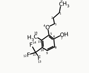 CCCCOc1c(O)ccc(C(F)(F)F)c1C